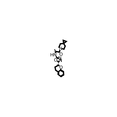 C[C@H](Nc1nnc([C@H]2CCc3ccccc3O2)o1)C(=O)N1CCC2(CC1)CC2